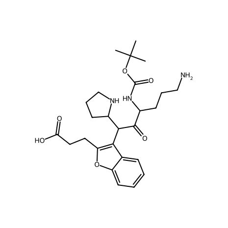 CC(C)(C)OC(=O)NC(CCCN)C(=O)C(c1c(CCC(=O)O)oc2ccccc12)C1CCCN1